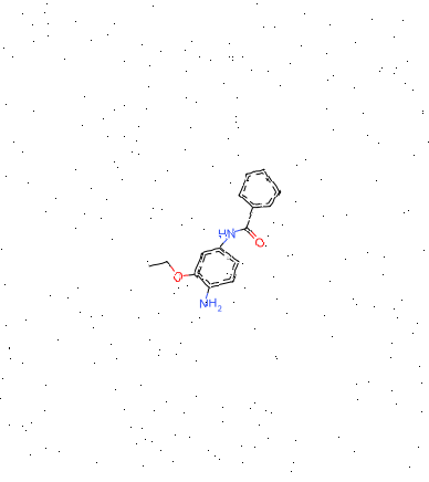 CCOc1cc(NC(=O)c2ccccc2)ccc1N